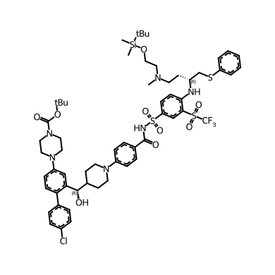 CN(CCO[Si](C)(C)C(C)(C)C)CC[C@H](CSc1ccccc1)Nc1ccc(S(=O)(=O)NC(=O)c2ccc(N3CCC([C@@H](O)c4cc(N5CCN(C(=O)OC(C)(C)C)CC5)ccc4-c4ccc(Cl)cc4)CC3)cc2)cc1S(=O)(=O)C(F)(F)F